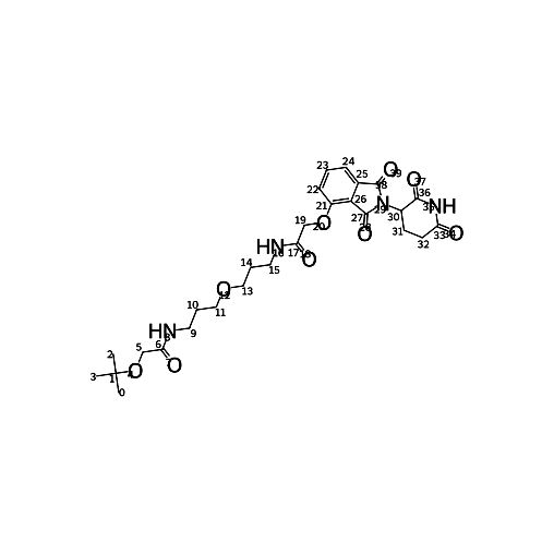 CC(C)(C)OCC(=O)NCCCOCCCNC(=O)COc1cccc2c1C(=O)N(C1CCC(=O)NC1=O)C2=O